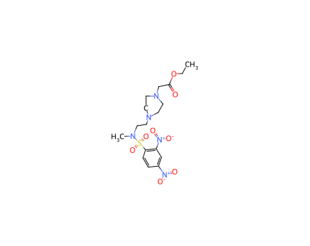 CCOC(=O)CN1CCN(CCN(C)S(=O)(=O)c2ccc([N+](=O)[O-])cc2[N+](=O)[O-])CC1